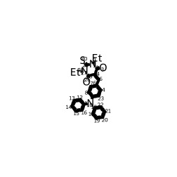 CCN1C(=O)C(=Cc2ccc(N(c3ccccc3)c3ccccc3)cc2)C(=O)N(CC)C1=S